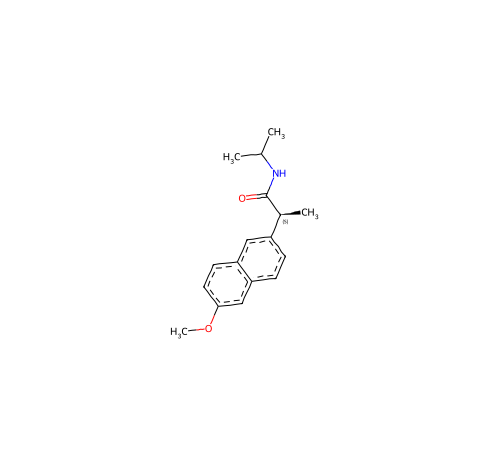 COc1ccc2cc([C@H](C)C(=O)NC(C)C)ccc2c1